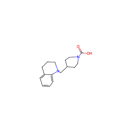 O=C(O)N1CCC(CN2CCCc3ccccc32)CC1